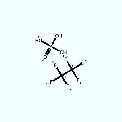 O=P(O)(O)O.[Li][C](F)(F)C(F)(F)F